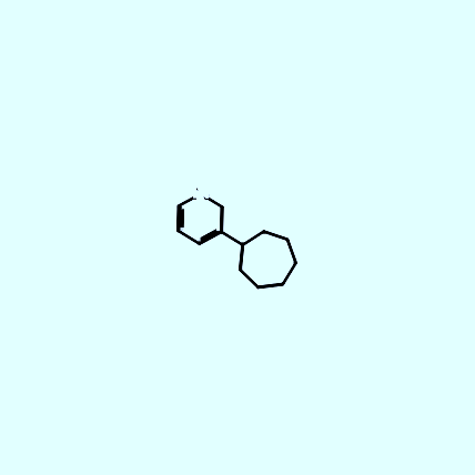 C1=C[N]CC(C2CCCCCC2)=C1